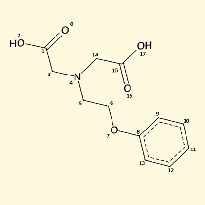 O=C(O)CN(CCOc1ccccc1)CC(=O)O